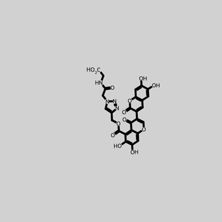 O=C(O)CNC(=O)Cn1cc(COC(=O)c2c(O)c(O)cc3occ(-c4cc5cc(O)c(O)cc5oc4=O)c(=O)c23)nn1